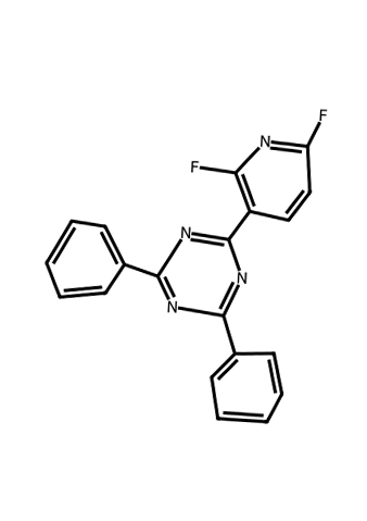 Fc1ccc(-c2nc(-c3ccccc3)nc(-c3ccccc3)n2)c(F)n1